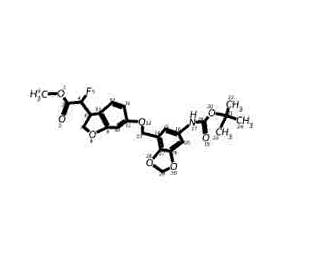 COC(=O)C(F)C1COc2cc(OCc3cc(NC(=O)OC(C)(C)C)cc4c3OCO4)ccc21